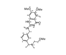 COCCN(C)C(C)c1cccc(CN(C)c2nc(=O)c3c(C)c(OC)c(OC)cc3[nH]2)c1